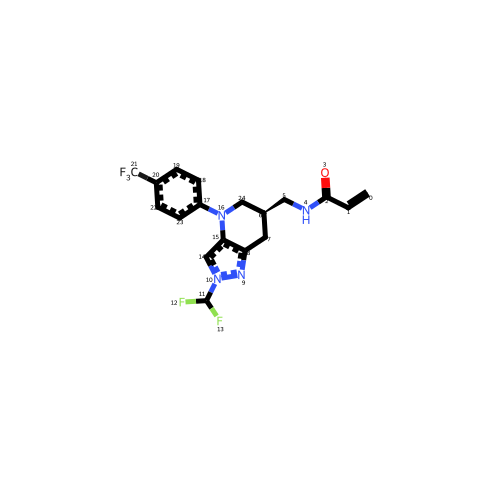 C=CC(=O)NC[C@H]1Cc2nn(C(F)F)cc2N(c2ccc(C(F)(F)F)cc2)C1